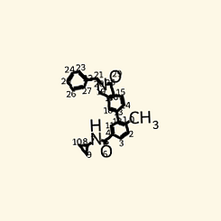 Cc1ccc(C(=O)NC2CC2)cc1-c1ccc2c(c1)CN(Cc1ccccc1)C2=O